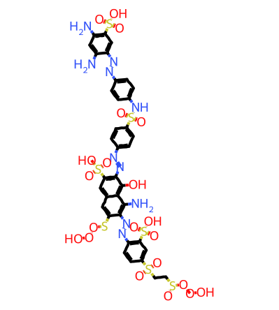 Nc1cc(N)c(S(=O)(=O)O)cc1/N=N/c1ccc(NS(=O)(=O)c2ccc(/N=N/c3c(S(=O)(=O)O)cc4cc(SOOO)c(/N=N/c5ccc(S(=O)(=O)CCS(=O)OOO)cc5S(=O)(=O)O)c(N)c4c3O)cc2)cc1